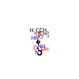 CC(C)(C)OC(=O)NC12CC(NC(=O)c3ncccc3O)(C1)C2